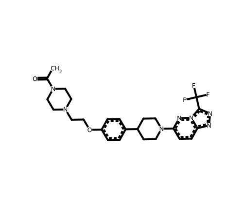 CC(=O)N1CCN(CCOc2ccc(C3CCN(c4ccc5nnc(C(F)(F)F)n5n4)CC3)cc2)CC1